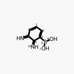 N=C1C=CC=C(B(O)O)C1=N